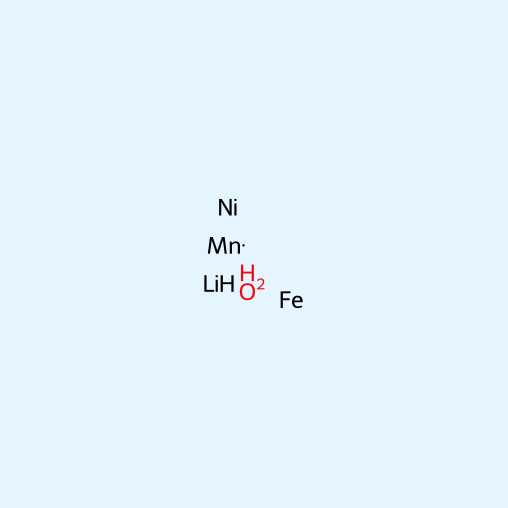 O.[Fe].[LiH].[Mn].[Ni]